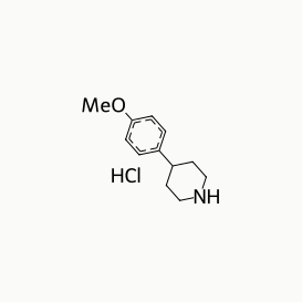 COc1ccc(C2CCNCC2)cc1.Cl